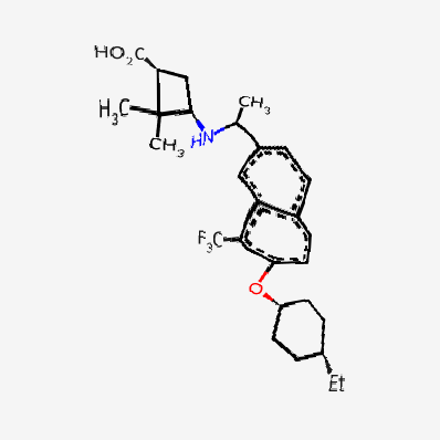 CC[C@H]1CC[C@@H](Oc2ccc3ccc(C(C)N[C@@H]4C[C@H](C(=O)O)C4(C)C)cc3c2C(F)(F)F)CC1